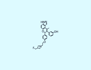 CC1=C(c2cccc(O)c2)C(c2ccc(OCCN3CC(CF)C3)cc2)Oc2ccc3[nH]ncc3c21